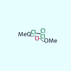 COCCOCCOC.ClC=C(Cl)Cl